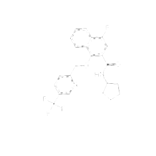 O=C(NC1CCCC1)c1cc(F)c2ccccc2c1OCc1ccc(C(F)(F)F)cn1